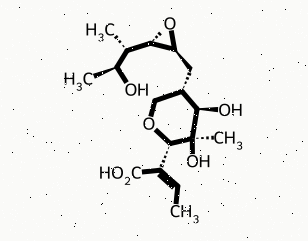 CC=C(C(=O)O)[C@@H]1OC[C@H](C[C@@H]2O[C@H]2[C@@H](C)[C@H](C)O)[C@@H](O)[C@@]1(C)O